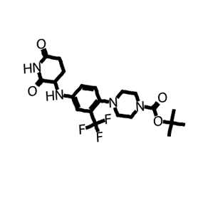 CC(C)(C)OC(=O)N1CCN(c2ccc(NC3CCC(=O)NC3=O)cc2C(F)(F)F)CC1